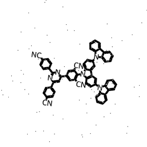 N#Cc1ccc(-c2cc(-c3cc(C#N)c(-n4c5ccc(-n6c7ccccc7c7ccccc76)cc5c5cc(-n6c7ccccc7c7ccccc76)ccc54)c(C#N)c3)nc(-c3ccc(C#N)cc3)n2)cc1